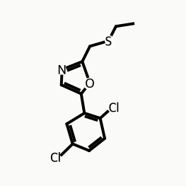 CCSCc1ncc(-c2cc(Cl)ccc2Cl)o1